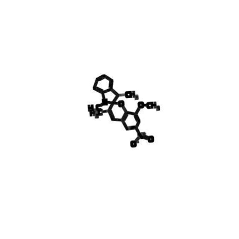 COc1cc([N+](=O)[O-])cc2c1OC1(C(C)=C2)C(C)c2ccccc2N1C